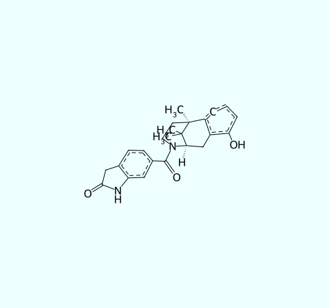 CC1(C)[C@H]2Cc3c(O)cccc3[C@]1(C)CCN2C(=O)c1ccc2c(c1)NC(=O)C2